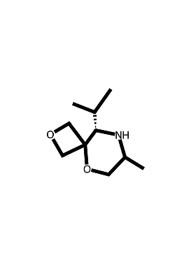 CC1COC2(COC2)[C@H](C(C)C)N1